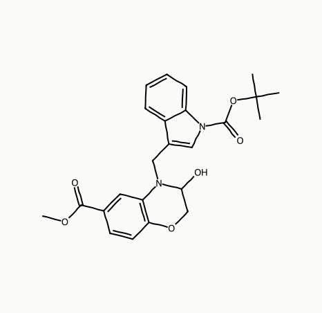 COC(=O)c1ccc2c(c1)N(Cc1cn(C(=O)OC(C)(C)C)c3ccccc13)C(O)CO2